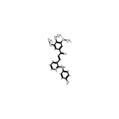 COc1cc(C(=O)/C=C/c2cccnc2Nc2ccc(Cl)cc2)cc(OC)c1OC